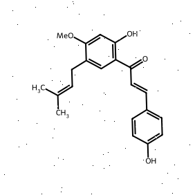 COc1cc(O)c(C(=O)C=Cc2ccc(O)cc2)cc1CC=C(C)C